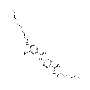 CCCCCCCCCCOc1ccc(C(=O)Oc2ccc(C(=O)OC(C)CCCCCC)cc2)cc1F